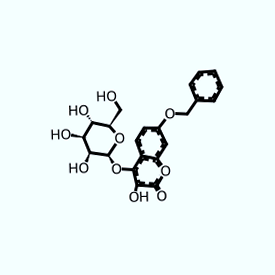 O=c1oc2cc(OCc3ccccc3)ccc2c(O[C@@H]2O[C@H](CO)[C@@H](O)[C@H](O)[C@@H]2O)c1O